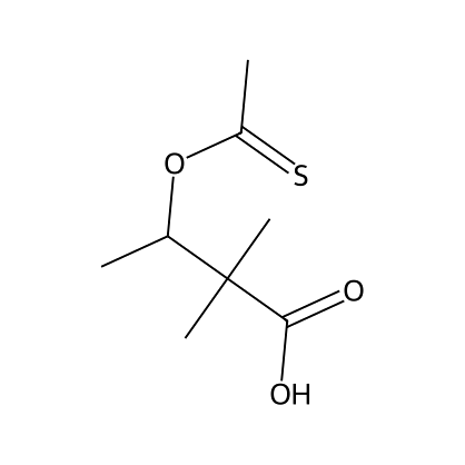 CC(=S)OC(C)C(C)(C)C(=O)O